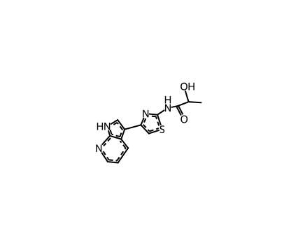 CC(O)C(=O)Nc1nc(-c2c[nH]c3ncccc23)cs1